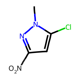 Cn1nc([N+](=O)[O-])cc1Cl